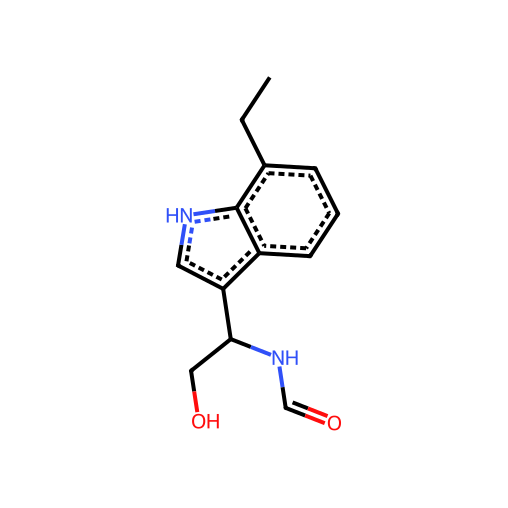 CCc1cccc2c(C(CO)NC=O)c[nH]c12